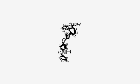 O=C(Nc1ccc(OC2CN(c3cccc(C(=O)O)c3-n3cccc3)C2)cc1)c1cccs1